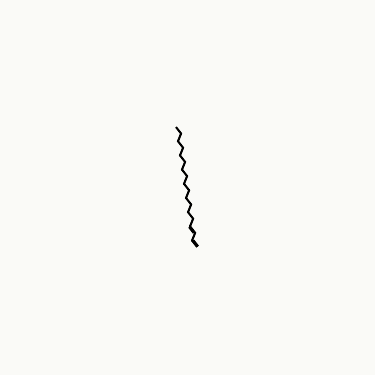 C=CC=CCCCCCCCCCCCCCC